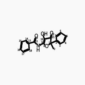 CC1(c2ccccc2)OC(NC(=O)c2ccccc2)=C(O)C1=O